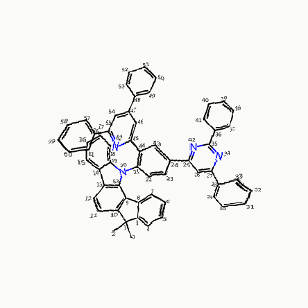 CC1(C)c2ccccc2-c2c1ccc1c3ccccc3n(-c3ccc(-c4cc(-c5ccccc5)nc(-c5ccccc5)n4)cc3-c3cc(-c4ccccc4)cc(-c4ccccc4)n3)c21